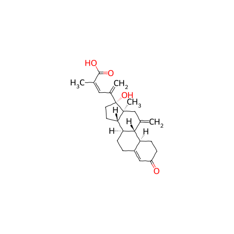 C=C1C[C@@]2(C)[C@@H](CC[C@@]2(O)C(=C)/C=C(/C)C(=O)O)[C@@H]2CCC3=CC(=O)CC[C@@H]3[C@@H]12